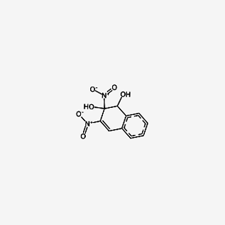 O=[N+]([O-])C1=Cc2ccccc2C(O)C1(O)[N+](=O)[O-]